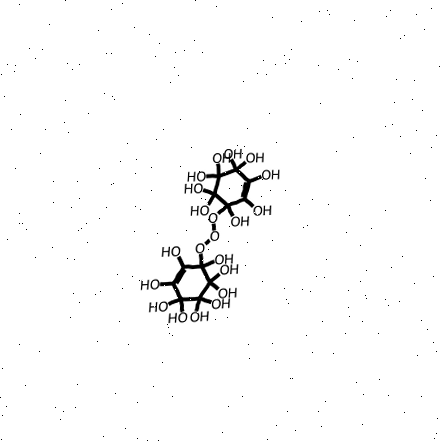 OC1=C(O)C(O)(OOOC2(O)C(O)=C(O)C(O)(O)C(O)(O)C2(O)O)C(O)(O)C(O)(O)C1(O)O